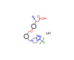 N#CC(CC(=O)O)c1ccc(OCc2cccc(CN3CCn4c(nnc4C(F)(F)F)C3)c2)cc1.[LiH]